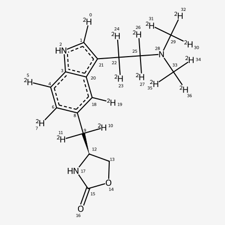 [2H]c1[nH]c2c([2H])c([2H])c(C([2H])([2H])[C@H]3COC(=O)N3)c([2H])c2c1C([2H])([2H])C([2H])([2H])N(C([2H])([2H])[2H])C([2H])([2H])[2H]